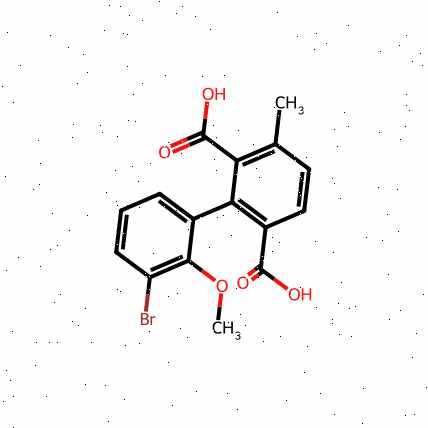 COc1c(Br)cccc1-c1c(C(=O)O)ccc(C)c1C(=O)O